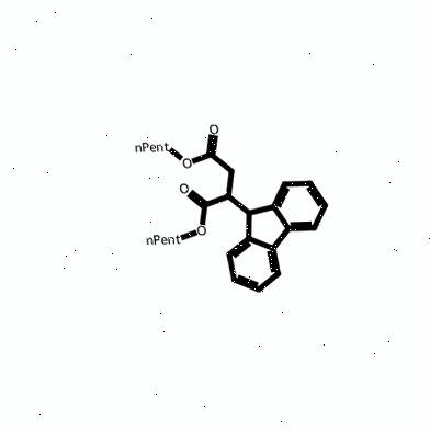 CCCCCOC(=O)CC(C(=O)OCCCCC)C1c2ccccc2-c2ccccc21